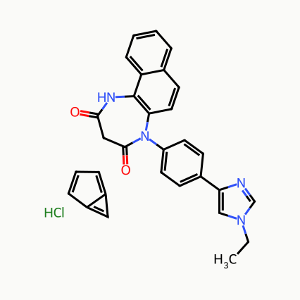 CCn1cnc(-c2ccc(N3C(=O)CC(=O)Nc4c3ccc3ccccc43)cc2)c1.Cl.c1cc2cc-2c1